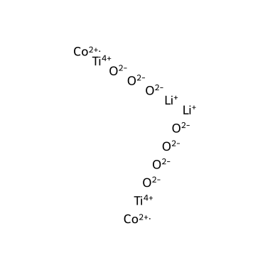 [Co+2].[Co+2].[Li+].[Li+].[O-2].[O-2].[O-2].[O-2].[O-2].[O-2].[O-2].[Ti+4].[Ti+4]